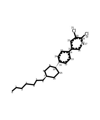 CCCCCCC[C@H]1CC[C@H](c2ccc(-c3cnc(Cl)c(Cl)c3)cc2)CC1